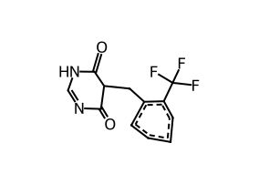 O=C1N=CNC(=O)C1Cc1ccccc1C(F)(F)F